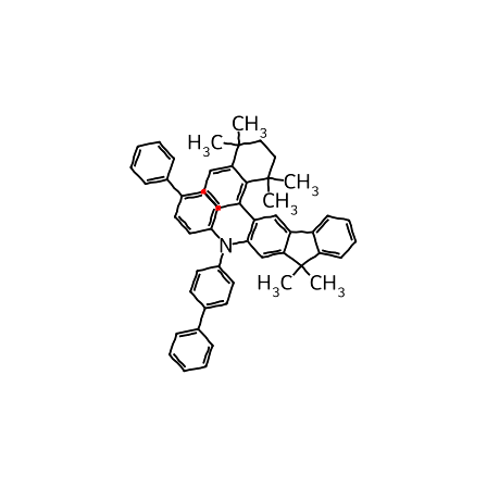 CC1(C)CCC(C)(C)c2c(-c3cc4c(cc3N(c3ccc(-c5ccccc5)cc3)c3ccc(-c5ccccc5)cc3)C(C)(C)c3ccccc3-4)cccc21